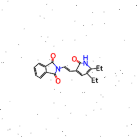 CCc1cc(C=CN2C(=O)c3ccccc3C2=O)c(=O)[nH]c1CC